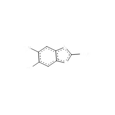 CCOC(=O)c1nc2cc([N+](=O)[O-])c(O)cc2o1